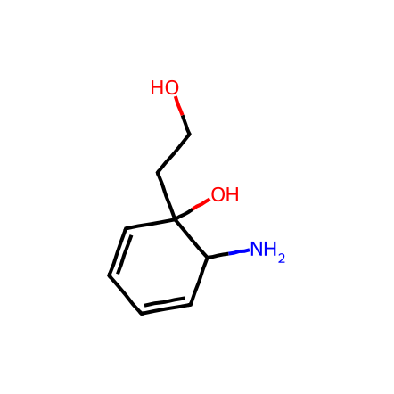 NC1C=CC=CC1(O)CCO